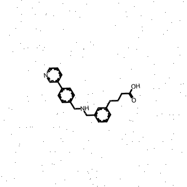 O=C(O)CCCc1cccc(CNCc2ccc(-c3cccnc3)cc2)c1